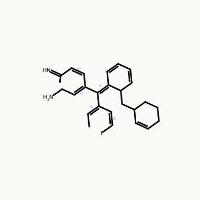 C/C=C(\C=C/I)C(/C(/C=C\C(C)=N)=C/CN)=C1/C=CC=CC1CC1C=CCCC1